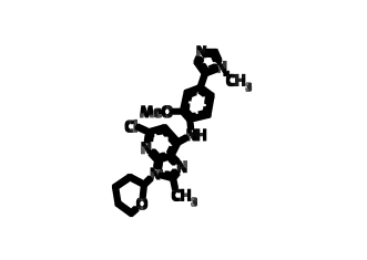 COc1cc(-c2cncn2C)ccc1Nc1cc(Cl)nc2c1nc(C)n2C1CCCCO1